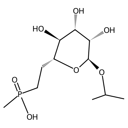 CC(C)O[C@H]1O[C@H](CCP(C)(=O)O)[C@@H](O)[C@H](O)[C@@H]1O